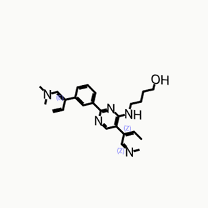 C=C/C(=C\N(C)C)c1cccc(-c2ncc(C(/C=N\C)=C/C)c(NCCCCO)n2)c1